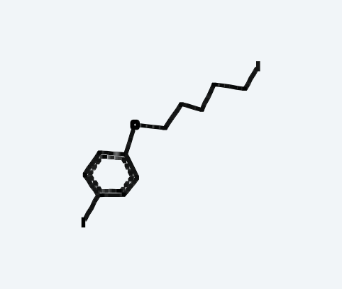 ICCCCCOc1ccc(I)cc1